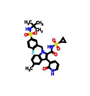 Cc1ccc2c(c1)c(-c1ccc[nH]c1=O)c(C(=O)NS(=O)(=O)C1CC1)n2Cc1cc(S(=O)(=O)NC(C)(C)C)ccc1F